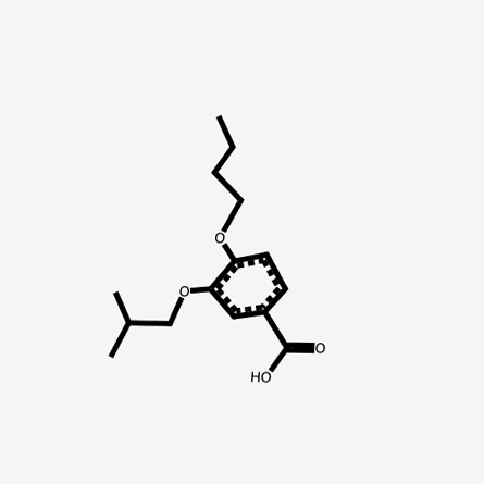 CCCCOc1ccc(C(=O)O)cc1OCC(C)C